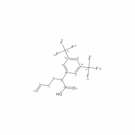 C=CCCC(C(=O)O)c1cc(C(F)(F)F)cc(C(F)(F)F)c1